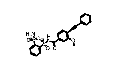 COc1cc(C(=O)NS(=O)(=O)c2ccccc2S(N)(=O)=O)ccc1C#Cc1ccccc1